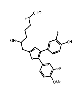 COc1ccc(-c2sc(CC(CCCNC=O)N=O)cc2-c2ccc(C#N)c(F)c2)cc1F